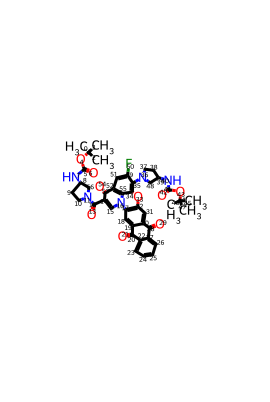 CC(C)(C)OC(=O)NC1CCN(C(=O)c2cn3c4cc5c(=O)c6ccccc6c(=O)c5cc4oc4c(N5CCC(NC(=O)OC(C)(C)C)C5)c(F)cc(c2=O)c43)C1